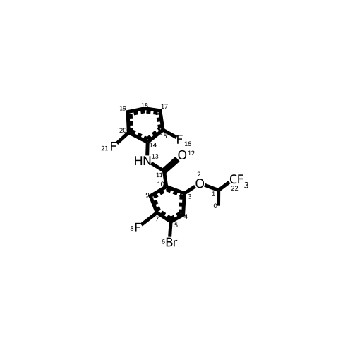 CC(Oc1cc(Br)c(F)cc1C(=O)Nc1c(F)cccc1F)C(F)(F)F